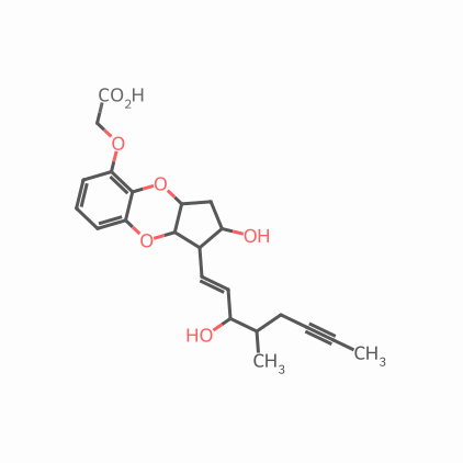 CC#CCC(C)C(O)/C=C/C1C(O)CC2Oc3c(OCC(=O)O)cccc3OC21